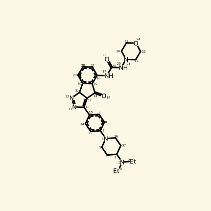 CCN(CC)C1CCN(c2ccc(C3=C4C(=O)c5c(NC(=O)NN6CCOCC6)cccc5C4N=N3)cc2)CC1